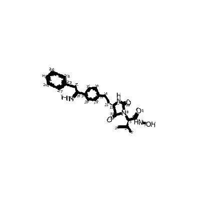 CC(C)[C@H](C(=O)NO)N1C(=O)N[C@@H](CCc2ccc(C(=N)Cc3ccccc3)cc2)C1=O